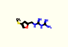 CSc1coc(CNC(=N)NC(=N)N)c1